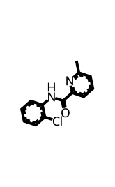 Cc1cccc(C(=O)Nc2ccccc2Cl)n1